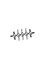 C[Si](C)(C)[Si](I)(I)[Si](I)(I)[Si](I)(I)[Si](C)(C)C